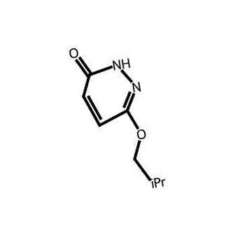 CC(C)COc1ccc(=O)[nH]n1